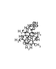 CC(=O)N[C@@H](C)C(=O)N[C@@H](C)C(=O)N[C@H](C(=O)N[C@@H](C)C(=O)N[C@@H](C)C(=O)O)[C@@H](C)OP(=O)(O)O